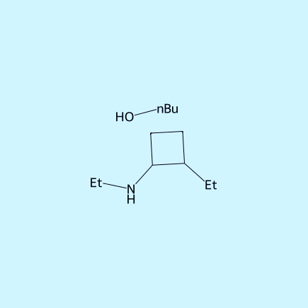 CCCCO.CCNC1CCC1CC